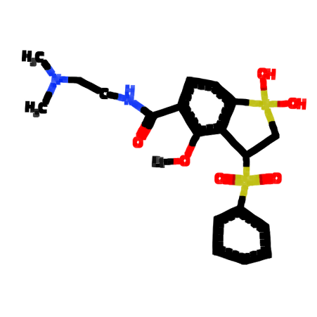 CCOc1c(C(=O)NCCN(C)C)ccc2c1C(S(=O)(=O)c1ccccc1)CS2(O)O